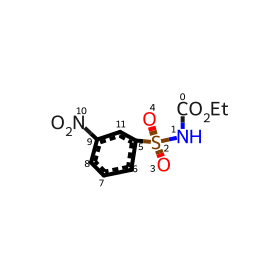 CCOC(=O)NS(=O)(=O)c1cccc([N+](=O)[O-])c1